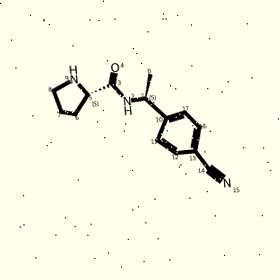 C[C@H](NC(=O)[C@@H]1C[CH]CN1)c1ccc(C#N)cc1